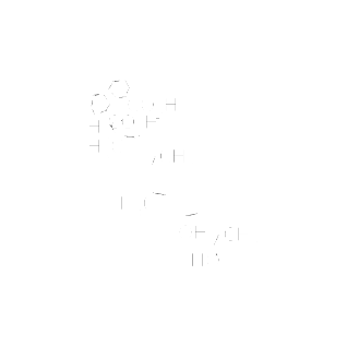 CC(C)=CCCC(C)=CCCC(C)=CCCC(=CCCC(C)=CCO)CO.O=C(O)c1ccccc1.O=C(O)c1ccccc1